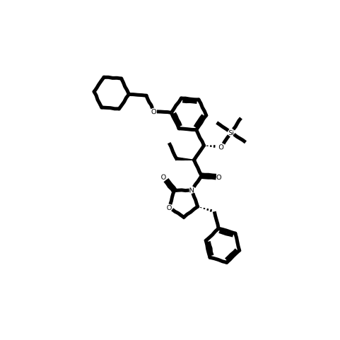 CC[C@H](C(=O)N1C(=O)OC[C@H]1Cc1ccccc1)[C@@H](O[Si](C)(C)C)c1cccc(OCC2CCCCC2)c1